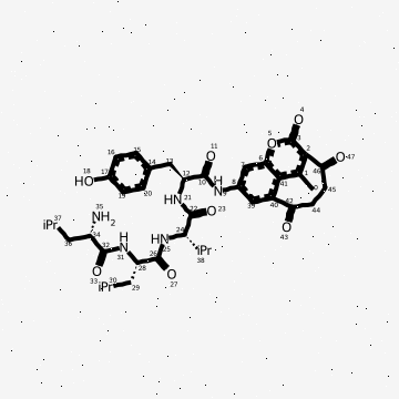 Cc1c2c(=O)oc3cc(NC(=O)[C@H](Cc4ccc(O)cc4)NC(=O)[C@@H](NC(=O)[C@H](CC(C)C)NC(=O)[C@@H](N)CC(C)C)C(C)C)cc(c13)C(=O)CCC2=O